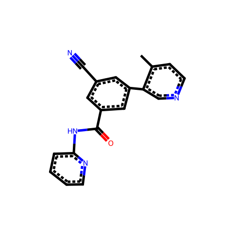 Cc1ccncc1-c1cc(C#N)cc(C(=O)Nc2ccccn2)c1